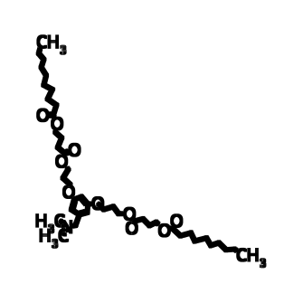 CCCCCCCCCC(=O)OCCCC(=O)OCCCOc1cc(CN(C)C)cc(OCCCOC(=O)CCCOC(=O)CCCCCCCCC)c1